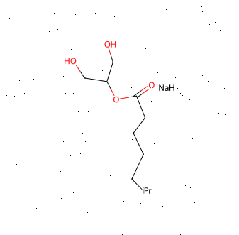 CC(C)CCCCC(=O)OC(CO)CO.[NaH]